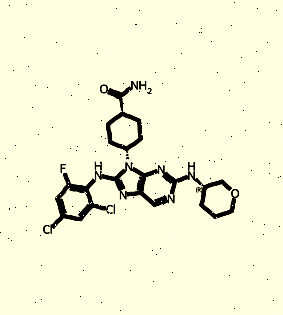 NC(=O)[C@H]1CC[C@H](n2c(Nc3c(F)cc(Cl)cc3Cl)nc3cnc(N[C@@H]4CCCOC4)nc32)CC1